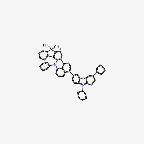 CC1(C)c2ccccc2-c2c1ccc1c2N(c2ccccc2)c2cccc3c(-c4ccc5c(c4)c4cc(-c6ccccc6)ccc4n5-c4ccccc4)ccc-1c23